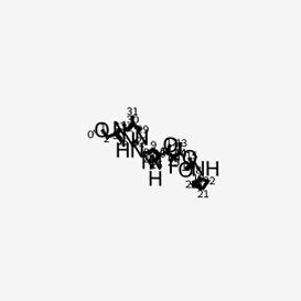 COCc1cn2c(Nc3cc([C@H]4OC[C@@H](OC(=O)NC56CC(C5)C6)[C@@H]4F)[nH]n3)ncc(C)c2n1